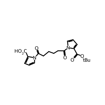 CC(C)(C)OC(=O)c1cccn1C(=O)CCCCC(=O)n1cccc1C(=O)O